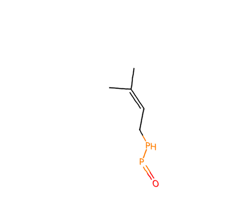 CC(C)=CCPP=O